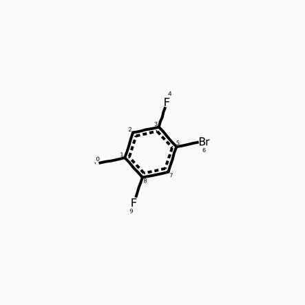 [CH2]c1cc(F)c(Br)cc1F